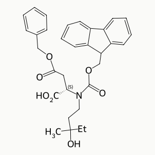 CCC(C)(O)CCN(C(=O)OCC1c2ccccc2-c2ccccc21)[C@@H](CC(=O)OCc1ccccc1)C(=O)O